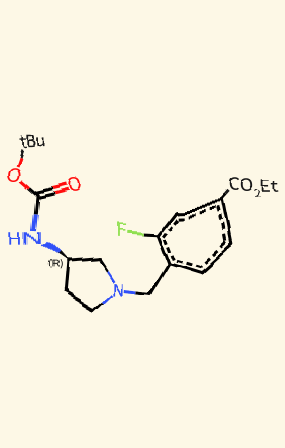 CCOC(=O)c1ccc(CN2CC[C@@H](NC(=O)OC(C)(C)C)C2)c(F)c1